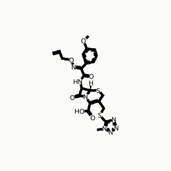 C=CCON=C(C(=O)NC1C(=O)N2C(C(=O)O)=C(CSc3nnnn3C)CS[C@@H]12)c1cccc(OC)c1